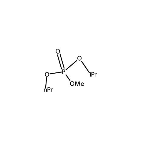 CCCOP(=O)(OC)OC(C)C